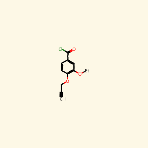 C#CCOc1ccc(C(=O)Cl)cc1OCC